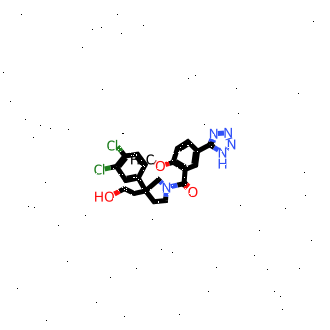 COc1ccc(-c2nnn[nH]2)cc1C(=O)N1CCC(CCO)(c2ccc(Cl)c(Cl)c2)C1